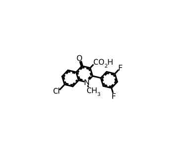 Cn1c(-c2cc(F)cc(F)c2)c(C(=O)O)c(=O)c2ccc(Cl)cc21